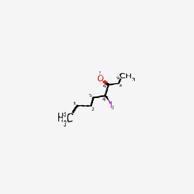 CCCCC(I)C(=O)CC